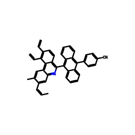 C=Cc1ccc2c(-c3c4ccccc4c(-c4ccc(C#N)cc4)c4ccccc34)nc3cc(/C=C\C)c(C)cc3c2c1C=C